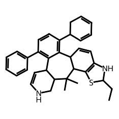 CCC1NC2=C(S1)C1C(C=C2)c2c(C3C=CC=CC3)ccc(-c3ccccc3)c2C2C=CNCC2C1(C)C